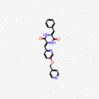 O=c1[nH]/c(=C\c2ccc(OCc3ccncc3)cn2)c(=O)[nH]/c1=C\c1ccccc1